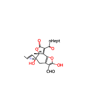 C/C=C/[C@@]1(O)Cc2c(oc(O)c2C=O)C2=C(C(=O)CCCCCCC)C(=O)O[C@]21C